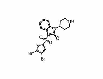 O=c1n(C2CCNCC2)c2ccccc2n1S(=O)(=O)c1cc(Br)c(Br)s1